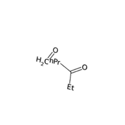 C=O.CCCC(=O)CC